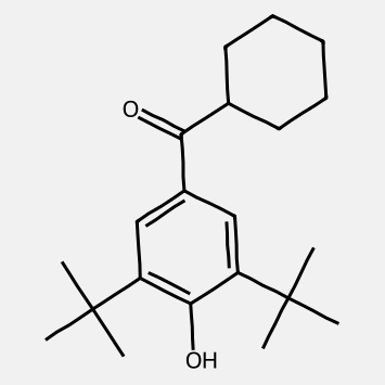 CC(C)(C)c1cc(C(=O)C2CCCCC2)cc(C(C)(C)C)c1O